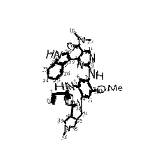 C=CC(=O)Nc1cc(Nc2ncc(C(=O)N(C)C)c(-c3c[nH]c4ccccc34)n2)c(OC)cc1N1CC2CN(C)CC2C1